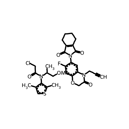 C#CCN1C(=O)COc2cc(F)c(N3C(=O)C4=C(CCCC4)C3=O)cc21.COCC(C)N(C(=O)CCl)c1c(C)csc1C